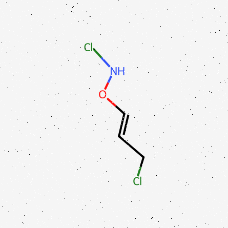 ClCC=CONCl